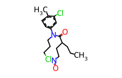 CCCC(CCN=O)C(=O)N(CCCCl)c1ccc(C)c(Cl)c1